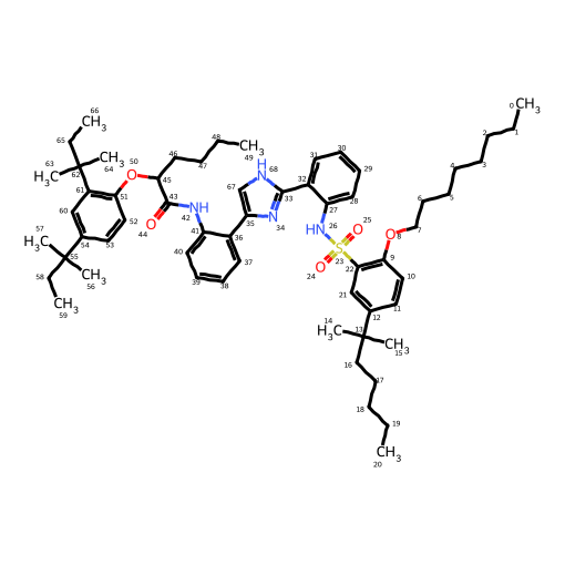 CCCCCCCCOc1ccc(C(C)(C)CCCCC)cc1S(=O)(=O)Nc1ccccc1-c1nc(-c2ccccc2NC(=O)C(CCCC)Oc2ccc(C(C)(C)CC)cc2C(C)(C)CC)c[nH]1